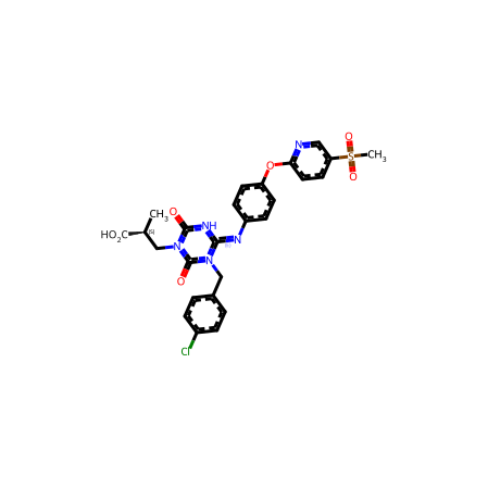 C[C@@H](Cn1c(=O)[nH]/c(=N\c2ccc(Oc3ccc(S(C)(=O)=O)cn3)cc2)n(Cc2ccc(Cl)cc2)c1=O)C(=O)O